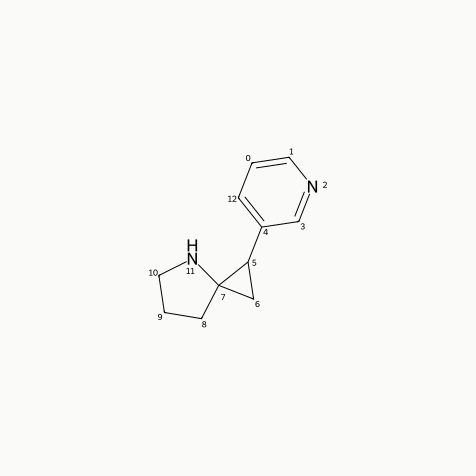 c1cncc(C2CC23CCCN3)c1